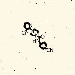 N#Cc1ccc(NC(=O)N2CCN(c3ncccc3Cl)CC2)cc1